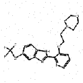 FC(F)(F)Oc1ccc2[nH]c(-c3ncccc3OCCN3CCOCC3)nc2c1